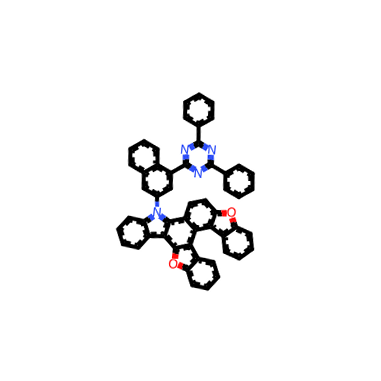 c1ccc(-c2nc(-c3ccccc3)nc(-c3cc(-n4c5ccccc5c5c6oc7ccccc7c6c6c(ccc7oc8ccccc8c76)c54)cc4ccccc34)n2)cc1